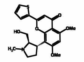 COc1cc(OC)c2c(=O)cc(-c3cccs3)oc2c1[C@@H]1CCN(C)[C@H]1CO